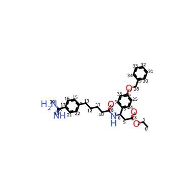 CCOC(=O)CC(NC(=O)CCCCc1ccc(C(=N)N)cc1)c1ccc(OCc2ccccc2)cc1